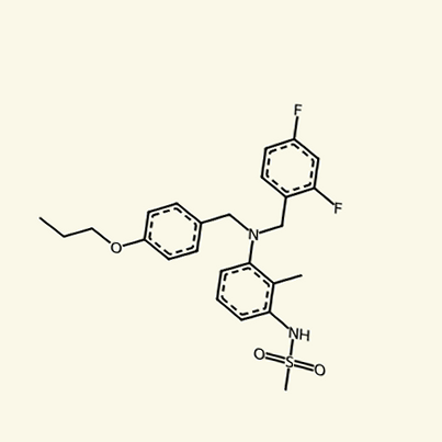 CCCOc1ccc(CN(Cc2ccc(F)cc2F)c2cccc(NS(C)(=O)=O)c2C)cc1